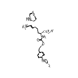 C1CSCN1.NCCCC[C@H](NC(=O)OCc1ccc([N+](=O)[O-])cc1)C(=O)O